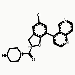 O=C([C@H]1Cc2cc(Cl)cc(-c3ccnc4ccncc34)c2O1)N1CCNCC1